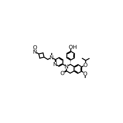 COc1cc2c(cc1OC(C)C)[C@@H](c1ccc(O)cc1)N(c1ccc(N(C)CC3CC(N=O)C3)nc1)C(=O)C2